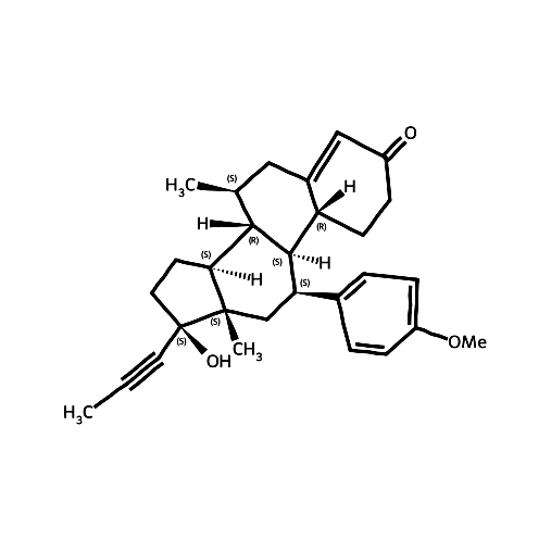 CC#C[C@]1(O)CC[C@H]2[C@H]3[C@H]([C@@H](c4ccc(OC)cc4)C[C@@]21C)[C@H]1CCC(=O)C=C1C[C@@H]3C